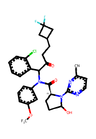 N#Cc1ccnc(N2C(O)CC[C@H]2C(=O)N(c2cccc(OC(F)(F)F)c2)C(C(=O)CCC2CC(F)(F)C2)c2ccccc2Cl)n1